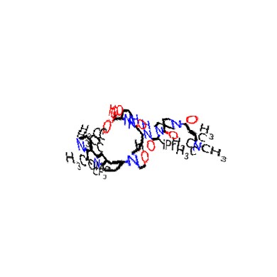 CO[C@@H](C)c1ncccc1-c1c2c3cc(ccc3n1CC(F)(F)F)N1CCO[C@@H](C[C@H](NC(=O)[C@H](C(C)C)N3CC[C@]4(CCN(C(=O)C#CC(C)(C)N(C)C)C4)C3=O)C(=O)N3CCC[C@@](O)(N3)C(=O)OCC(C)(C)C2)C1